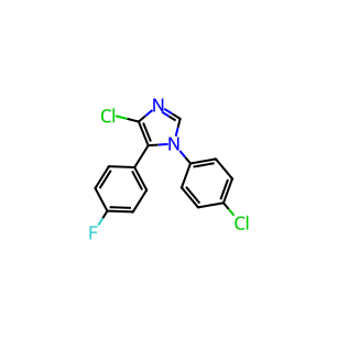 Fc1ccc(-c2c(Cl)ncn2-c2ccc(Cl)cc2)cc1